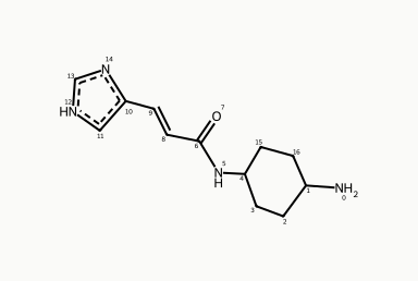 NC1CCC(NC(=O)/C=C/c2c[nH]cn2)CC1